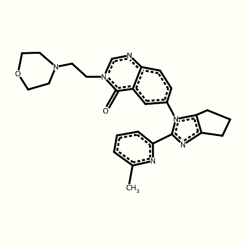 Cc1cccc(-c2nc3c(n2-c2ccc4ncn(CCN5CCOCC5)c(=O)c4c2)CCC3)n1